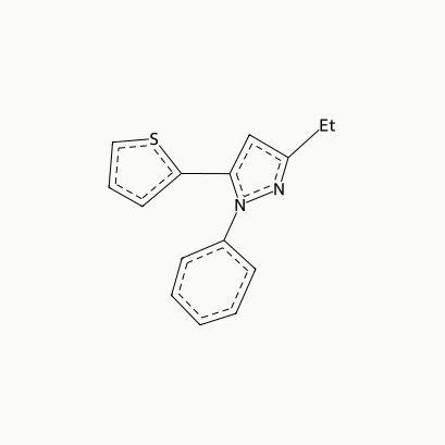 CCc1cc(-c2cccs2)n(-c2ccccc2)n1